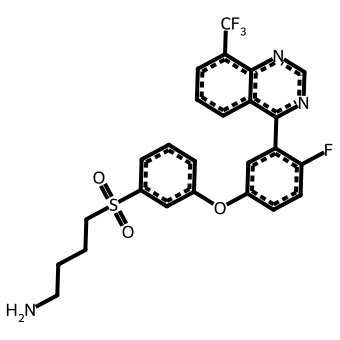 NCCCCS(=O)(=O)c1cccc(Oc2ccc(F)c(-c3ncnc4c(C(F)(F)F)cccc34)c2)c1